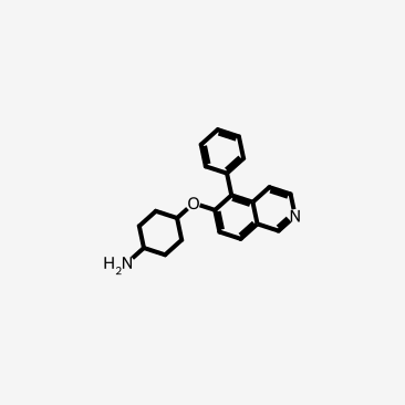 NC1CCC(Oc2ccc3cnccc3c2-c2ccccc2)CC1